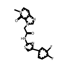 Cn1ccc2ncn(CC(=O)Nc3nc(-c4ccc(F)c(F)c4)cs3)c2c1=O